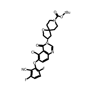 CC(C)(C)OC(=O)N1CCC2(CC1)C[C@@H](n1cnc3ccc(Oc4c(F)ccc(F)c4C#N)c(Cl)c3c1=O)CO2